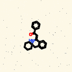 O=C(/C=C1\NC2(CCCCC2)Cc2ccccc21)c1ccccc1